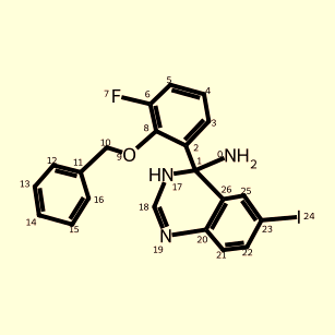 NC1(c2cccc(F)c2OCc2ccccc2)NC=Nc2ccc(I)cc21